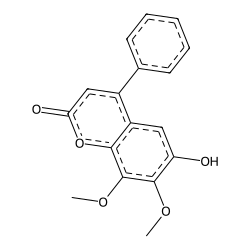 COc1c(O)cc2c(-c3ccccc3)cc(=O)oc2c1OC